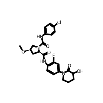 CO[C@@H]1C[C@H](C(=O)Nc2ccc(N3CCCC(O)C3=O)cc2F)N(C(=O)Nc2ccc(Cl)cc2)C1